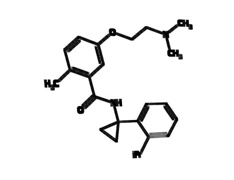 Cc1ccc(OCCN(C)C)cc1C(=O)NC1(c2ccccc2C(C)C)CC1